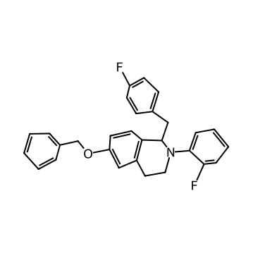 Fc1ccc(CC2c3ccc(OCc4ccccc4)cc3CCN2c2ccccc2F)cc1